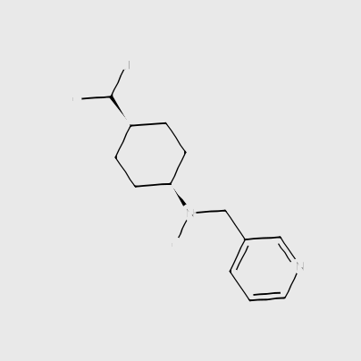 CC(C)C(C)[C@H]1CC[C@@H](N(C)Cc2cccnc2)CC1